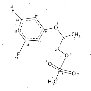 CC(COS(C)(=O)=O)Oc1cc(F)cc(F)c1